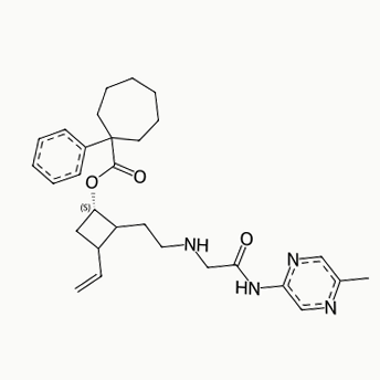 C=CC1C[C@H](OC(=O)C2(c3ccccc3)CCCCCC2)C1CCNCC(=O)Nc1cnc(C)cn1